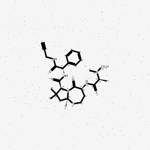 C#CCNC(=O)[C@@H](NC(=O)[C@H]1N2C(=O)[C@@H](NC(=S)[C@H](C)N(C)C(=O)O)CCS[C@H]2CC1(C)C)c1ccccc1